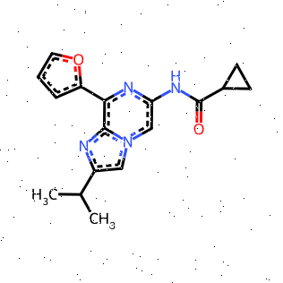 CC(C)c1cn2cc(NC(=O)C3CC3)nc(-c3ccco3)c2n1